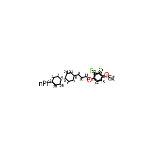 CCC[C@H]1CC[C@H](C2CCC(CCCOc3ccc(OCC)c(F)c3F)CC2)CC1